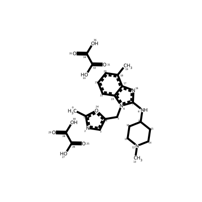 Cc1ncc(Cn2c(NC3CCN(C)CC3)nc3c(C)cccc32)o1.O=C(O)C(=O)O.O=C(O)C(=O)O